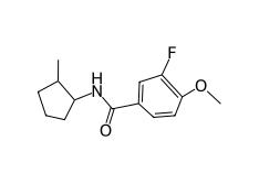 COc1ccc(C(=O)NC2CCCC2C)cc1F